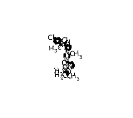 C[C@@H]1CN(C(=O)C2CCCN2C(=O)OC(C)(C)C)CCN1c1ccc2ncn([C@H](C)c3ccc(Cl)cc3Cl)c2c1